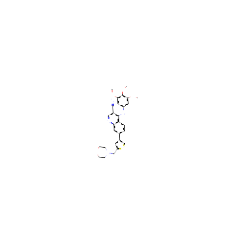 COc1cc(Nc2c(C#N)cnc3cc(-c4csc(CN5CCOCC5)c4)ccc23)cc(OC)c1OC